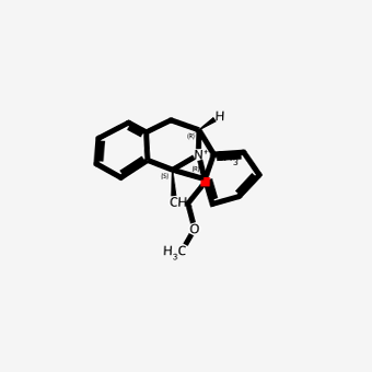 COCC[N@+]1(C)[C@@H]2Cc3ccccc3[C@@]1(C)c1ccccc12